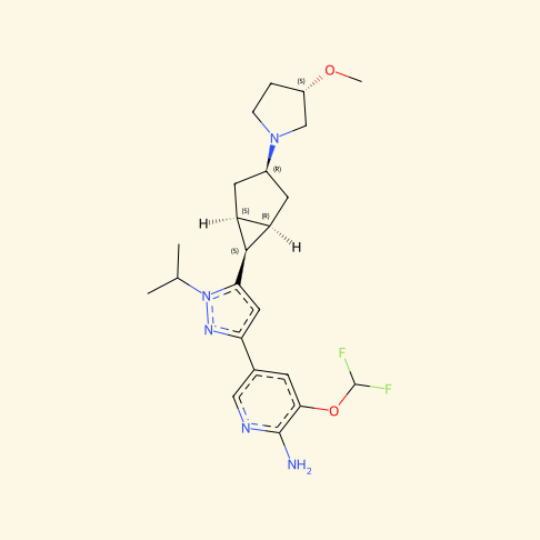 CO[C@H]1CCN([C@H]2C[C@@H]3[C@H](C2)[C@@H]3c2cc(-c3cnc(N)c(OC(F)F)c3)nn2C(C)C)C1